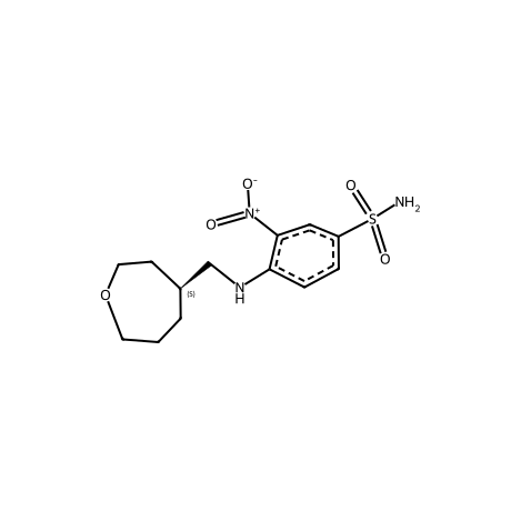 NS(=O)(=O)c1ccc(NC[C@H]2CCCOCC2)c([N+](=O)[O-])c1